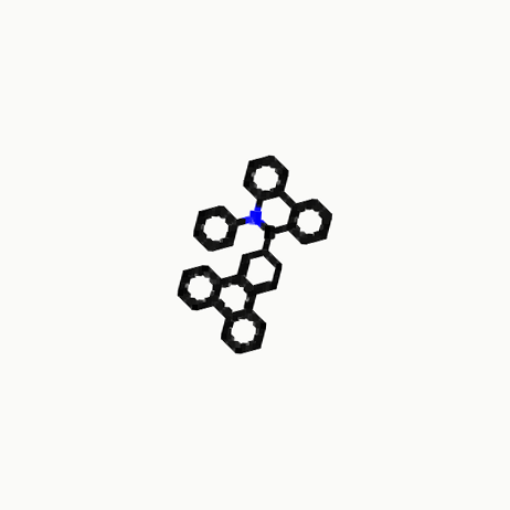 C1=c2c(c3ccccc3c3ccccc23)=CC(B2c3ccccc3-c3ccccc3N2c2ccccc2)C1